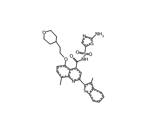 Cc1c(-c2cc(C(=O)NS(=O)(=O)c3cnc(N)s3)c3c(OCCC4CCOCC4)ccc(C)c3n2)sc2ccccc12